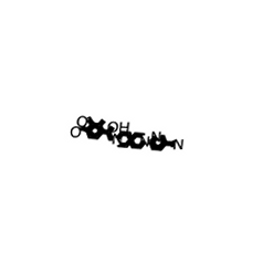 Cc1c(C(O)CN2CCC3(CC2)CCN(c2ccc(C#N)cn2)CC3)ccc2c1COC2=O